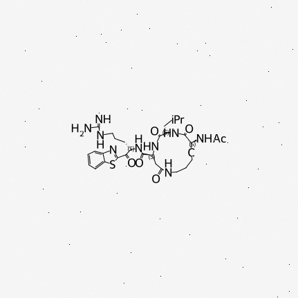 CC(=O)N[C@H]1CCCCNC(=O)C[C@@H](C(=O)N[C@@H](CCCNC(=N)N)C(=O)c2nc3ccccc3s2)NC(=O)[C@H](CC(C)C)NC1=O